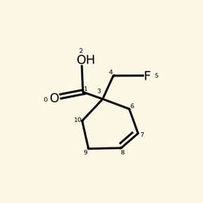 O=C(O)C1(CF)CC=CCC1